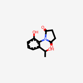 CC(O)c1cccc(O)c1N1C(=O)CCC1=O